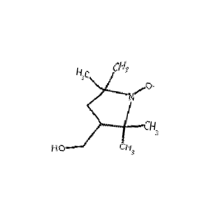 CC1(C)CC(CO)C(C)(C)N1[O]